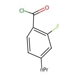 CCCc1ccc(C(=O)Cl)c(F)c1